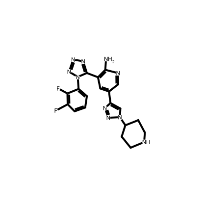 Nc1ncc(-c2cn(C3CCNCC3)nn2)cc1-c1nnnn1-c1cccc(F)c1F